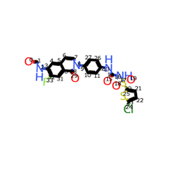 O=CNc1cc2ccn(-c3ccc(NC(=O)NS(=O)(=O)c4ccc(Cl)s4)cc3)c(=O)c2cc1F